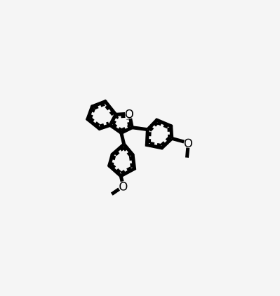 COc1ccc(-c2oc3ccccc3c2-c2ccc(OC)cc2)cc1